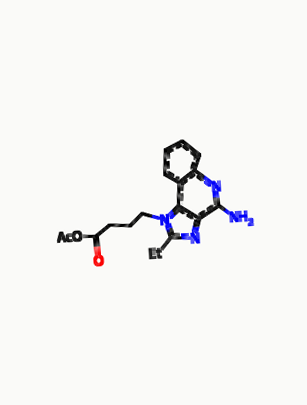 CCc1nc2c(N)nc3ccccc3c2n1CCCC(=O)OC(C)=O